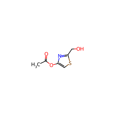 CC(=O)Oc1csc(CO)n1